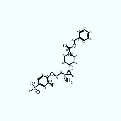 CS(=O)(=O)c1ccc(OCC[C@]2(N)C[C@@H]2C2CCN(C(=O)OCc3ccccc3)CC2)c(F)c1